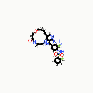 C[C@@H]1CCn2nc(-c3ccc(NS(=O)(=O)c4ccccc4F)c(F)c3)c3c(N)ncc(c32)/C=C/CCOCCC(=O)N1